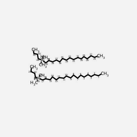 CCCCCCCCCCCCCCCCCC[PH](C)(C)CCCC.CCCCCCCCCCCCCCCC[PH](C)(C)CCCC